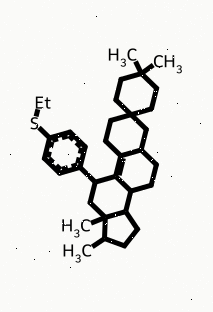 CCSc1ccc(C2CC3(C)C(C)CCC3C3CCC4CC5(CCC4=C23)CCC(C)(C)CC5)cc1